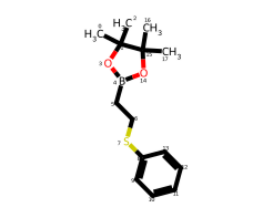 CC1(C)OB(CCSc2ccccc2)OC1(C)C